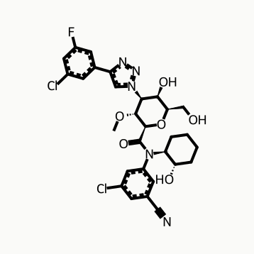 CO[C@@H]1[C@@H](n2cc(-c3cc(F)cc(Cl)c3)nn2)[C@@H](O)[C@@H](CO)O[C@H]1C(=O)N(c1cc(Cl)cc(C#N)c1)[C@H]1CCCC[C@@H]1O